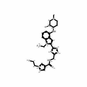 CN1CC[C@@H](Nc2cccc3c2cc(-c2noc(CNC(=O)c4cnn(CCF)c4)n2)n3CC(F)(F)F)[C@@H](F)C1